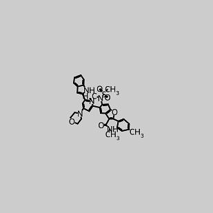 CNC(=O)c1c(-c2ccc(C)cc2)oc2cc(N(C)S(C)(=O)=O)c(-c3cc(N4CCOCC4)cc(-c4cc5ccccc5[nH]4)n3)cc12